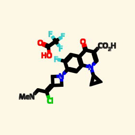 CNCC(Cl)=C1CN(c2cc3c(cc2F)c(=O)c(C(=O)O)cn3C2CC2)C1.O=C(O)C(F)(F)F